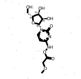 COCC(=O)ONc1ccn([C@@H]2O[C@H](CO)[C@@H](O)[C@H]2O)c(=O)n1